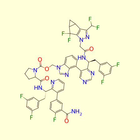 NC(=O)c1cc(-c2cccnc2[C@H](Cc2cc(F)cc(F)c2)NC(=O)C2CCCN2C(=O)OCn2cnc3c(-c4cncnc4[C@H](Cc4cc(F)cc(F)c4)NC(=O)Cn4nc(C(F)F)c5c4C(F)(F)C4CC54)cccc32)ccc1F